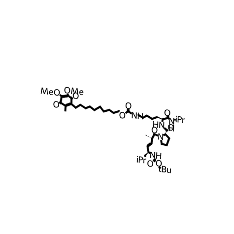 COC1=C(OC)C(=O)C(CCCCCCCCCCOC(=O)NCCCCC[C@H](NC(=O)[C@@H]2CCCN2C(=O)[C@@H](C)/C=C/[C@H](CC(C)C)NC(=O)OC(C)(C)C)C(=O)NC(C)C)=C(C)C1=O